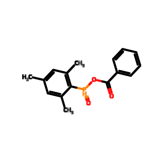 Cc1cc(C)c([PH](=O)OC(=O)c2ccccc2)c(C)c1